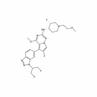 COCCN1CC[C@H](Nc2nc(OC)c3c(-c4ccc5nnn(C(CF)CF)c5c4)c(F)cn3n2)[C@H](F)C1